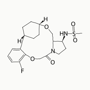 CS(=O)(=O)N[C@H]1CCN2C(=O)COc3c(F)cccc3[C@H]3CC[C@H](CC3)OCC12